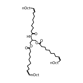 CCCCCCCC/C=C\CCCCCCCC(=O)NC(COC(=O)CCCCCCC/C=C\CCCCCCCC)COC(=O)CCCCCCC/C=C\CCCCCCCC